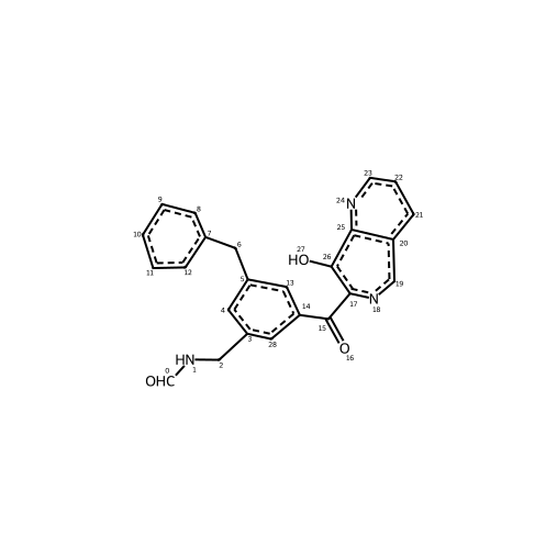 O=CNCc1cc(Cc2ccccc2)cc(C(=O)c2ncc3cccnc3c2O)c1